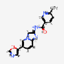 CC(C)c1ccc(C(=O)Nc2cn3cc(-c4cnco4)ccc3n2)cn1